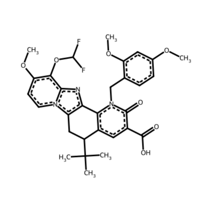 COc1ccc(Cn2c3c(cc(C(=O)O)c2=O)C(C(C)(C)C)Cc2c-3nc3c(OC(F)F)c(OC)ccn23)c(OC)c1